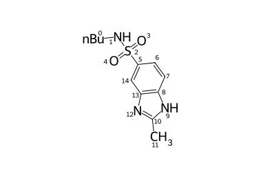 CCCCNS(=O)(=O)c1ccc2[nH]c(C)nc2c1